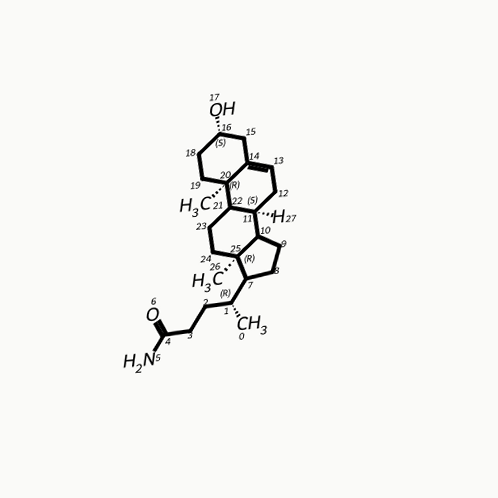 C[C@H](CCC(N)=O)C1CCC2[C@@H]3CC=C4C[C@@H](O)CC[C@]4(C)C3CC[C@@]21C